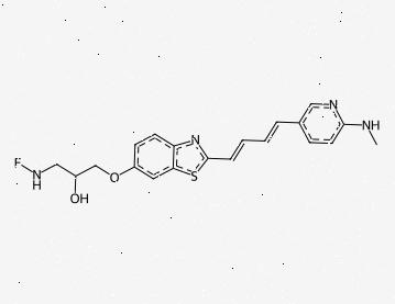 CNc1ccc(/C=C/C=C/c2nc3ccc(OCC(O)CNF)cc3s2)cn1